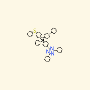 c1ccc(-c2ccc([Si](c3ccccc3)(c3ccc(-c4nc(-c5ccccc5)nc(-c5ccccc5)n4)cc3)c3ccc4sc5ccccc5c4c3)cc2)cc1